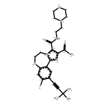 CC(C)(O)C#Cc1cc2c(cc1F)OCCn1c-2nc(C(N)=O)c1C(=O)NCCN1CCOCC1